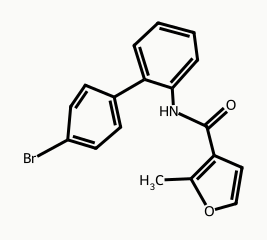 Cc1occc1C(=O)Nc1ccccc1-c1ccc(Br)cc1